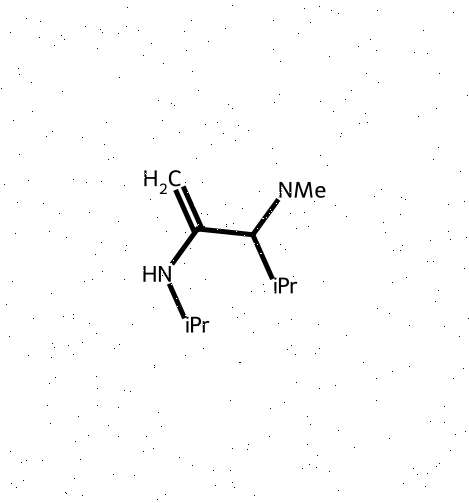 C=C(NC(C)C)C(NC)C(C)C